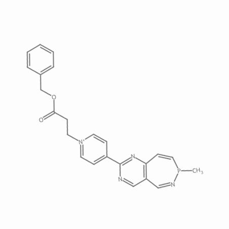 CP1C=Cc2nc(-c3cc[n+](CCC(=O)OCc4ccccc4)cc3)ncc2C=N1